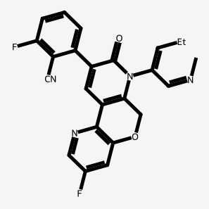 CC/C=C(\C=N/C)n1c2c(cc(-c3cccc(F)c3C#N)c1=O)-c1ncc(F)cc1OC2